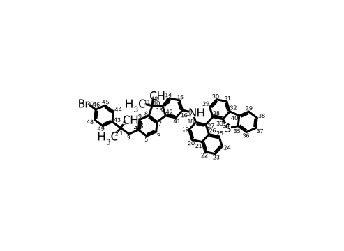 CC(C)(Cc1ccc2c(c1)C(C)(C)c1ccc(Nc3ccc4ccccc4c3-c3cccc4c3sc3ccccc34)cc1-2)c1ccc(Br)cc1